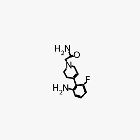 NC(=O)CN1CC=C(c2c(N)cccc2F)CC1